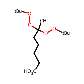 CC(C)(C)OOC(C)(CCCCC(=O)O)OOC(C)(C)C